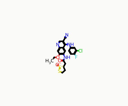 CCOc1cc2ncc(C#N)c(Nc3ccc(F)c(Cl)c3)c2cc1NC(=O)CC1CCS[S+]1[O-]